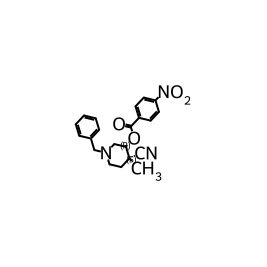 C[C@@]1(C#N)CCN(Cc2ccccc2)C[C@@H]1OC(=O)c1ccc([N+](=O)[O-])cc1